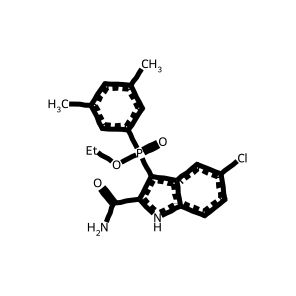 CCOP(=O)(c1cc(C)cc(C)c1)c1c(C(N)=O)[nH]c2ccc(Cl)cc12